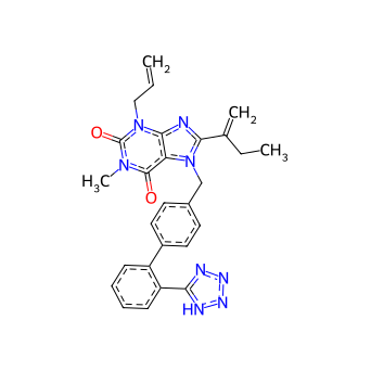 C=CCn1c(=O)n(C)c(=O)c2c1nc(C(=C)CC)n2Cc1ccc(-c2ccccc2-c2nnn[nH]2)cc1